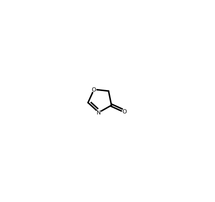 O=C1COC=N1